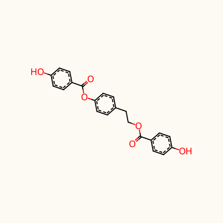 O=C(OCCc1ccc(OC(=O)c2ccc(O)cc2)cc1)c1ccc(O)cc1